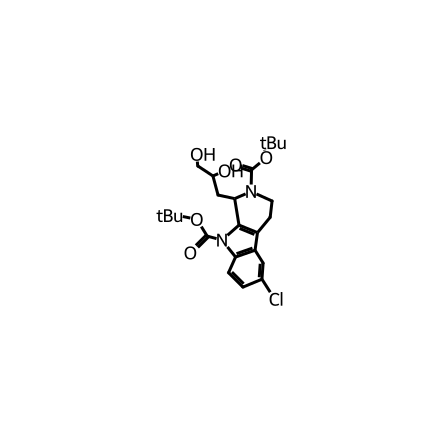 CC(C)(C)OC(=O)N1CCc2c(n(C(=O)OC(C)(C)C)c3ccc(Cl)cc23)C1CC(O)CO